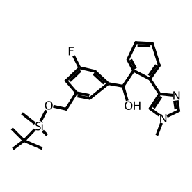 Cn1cnc(-c2ccccc2C(O)c2cc(F)cc(CO[Si](C)(C)C(C)(C)C)c2)c1